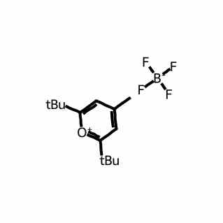 Cc1cc(C(C)(C)C)[o+]c(C(C)(C)C)c1.F[B-](F)(F)F